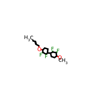 CCC=CCOC1CCC(C2CCC(OC)C(F)C2F)C(F)C1F